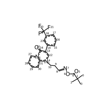 CC(C)(C)C(=O)ON=CCC[n+]1cc(-c2cccc(C(F)(F)F)c2)c(=O)n2ccccc21